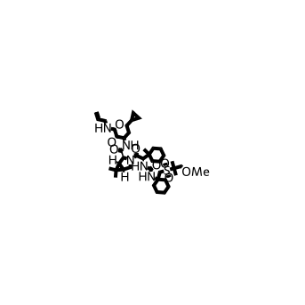 C=CCNC(=O)C(=O)C(CCC1CC1)NC(=O)[C@@H]1[C@@H]2[C@H](CN1C(=O)[C@@H](NC(=O)NC1(CS(=O)(=O)C(C)(C)COC)CCCCC1)C1(C)CCCCC1)C2(C)C